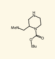 CNCC1CNCCN1C(=O)OC(C)(C)C